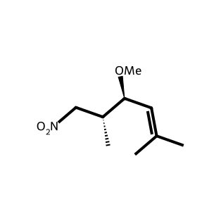 CO[C@@H](C=C(C)C)[C@H](C)C[N+](=O)[O-]